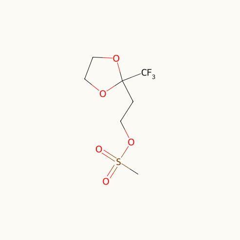 CS(=O)(=O)OCCC1(C(F)(F)F)OCCO1